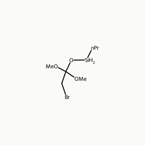 CCC[SiH2]OC(CBr)(OC)OC